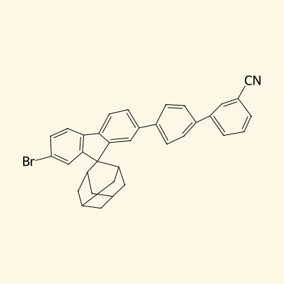 N#Cc1cccc(-c2ccc(-c3ccc4c(c3)C3(c5cc(Br)ccc5-4)C4CC5CC(C4)CC3C5)cc2)c1